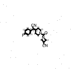 N#CC(=C1CCN(C(=O)N2CC(C#N)C2)CC1)c1ccc(F)cc1